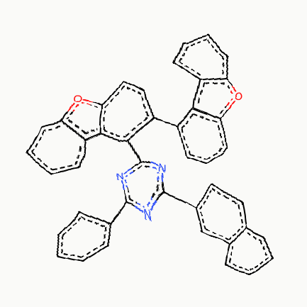 c1ccc(-c2nc(-c3ccc4ccccc4c3)nc(-c3c(-c4cccc5oc6ccccc6c45)ccc4oc5ccccc5c34)n2)cc1